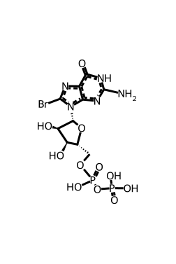 Nc1nc2c(nc(Br)n2[C@@H]2O[C@H](COP(=O)(O)OP(=O)(O)O)[C@@H](O)[C@H]2O)c(=O)[nH]1